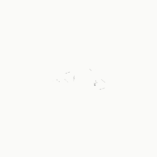 CCOC(=O)C(Cc1ccc([N+](=O)[O-])cc1)C(C(=O)CC)c1cccc(Cl)c1